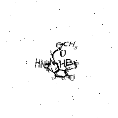 Br.COC(=O)CN1Cc2c(ccc(Cl)c2Cl)N2NC12